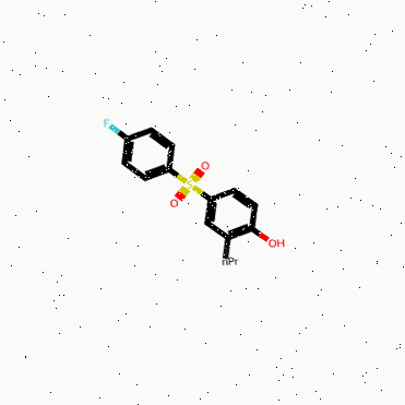 CCCc1cc(S(=O)(=O)c2ccc(F)cc2)ccc1O